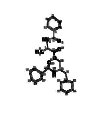 CC(NC(=O)c1ccccc1)C(=O)OCC(Cc1ccccc1)NC(=O)c1ccccc1